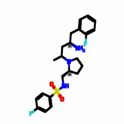 CC(C[C@H](N)Cc1ccccc1F)N1CCC[C@H]1CNS(=O)(=O)c1ccc(F)cc1